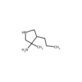 CCCC1CNCC1(C)N